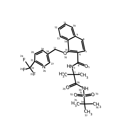 CC(C)(NC(=O)c1ccc2ccccc2c1OCc1ccc(C(F)(F)F)nc1)C(=O)NS(=O)(=O)C(C)(C)C